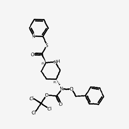 O=C(Sc1ccccn1)[C@@H]1CC[C@@H](N(OCc2ccccc2)C(=O)OC(Cl)(Cl)Cl)CN1